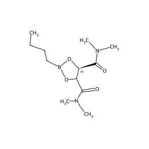 CCCCB1OC(C(=O)N(C)C)[C@H](C(=O)N(C)C)O1